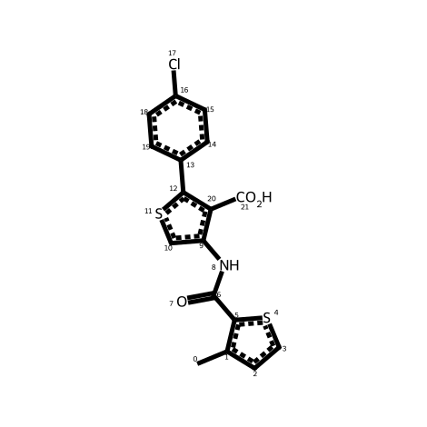 Cc1ccsc1C(=O)Nc1csc(-c2ccc(Cl)cc2)c1C(=O)O